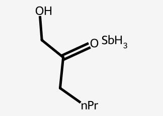 CCCCC(=O)CO.[SbH3]